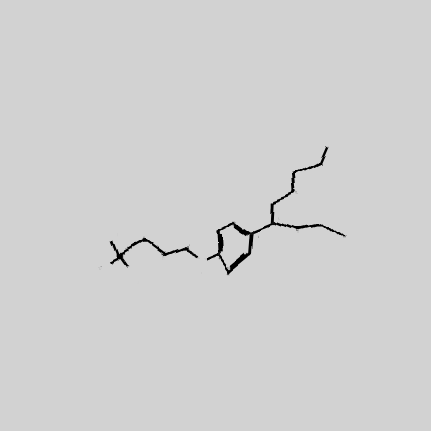 CCCCCC(CCC)c1ccc(OCCCC(F)(F)F)cc1